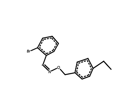 CCc1ccc(CO/N=[C]\c2ccccc2Br)cc1